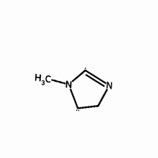 CN1[C]CN=[C]1